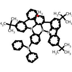 Cc1cc2c3c(c1)N(c1ccc(C(C)(C)C)cc1-c1ccccc1)c1cc(N(c4ccccc4)c4ccccc4)ccc1B3n1c3ccc(C(C)(C)C)cc3c3cc(C(C)(C)C)cc-2c31